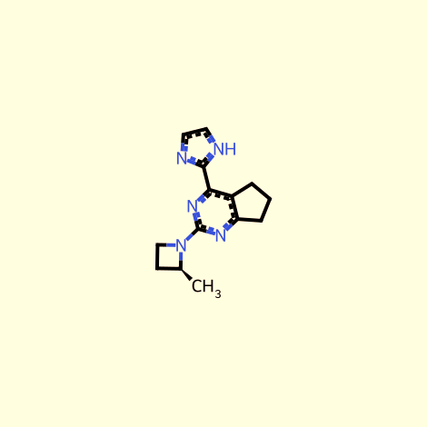 C[C@H]1CCN1c1nc2c(c(-c3ncc[nH]3)n1)CCC2